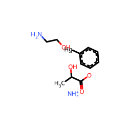 CC(O)C(=O)[O-].NCCO.[Hg][c]1ccccc1.[NH4+]